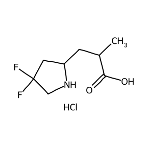 CC(CC1CC(F)(F)CN1)C(=O)O.Cl